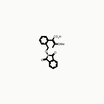 COC(C)=C(C(=O)O)c1ccccc1CON1C(=O)c2ccccc2C1=O